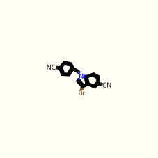 N#Cc1ccc(Cn2cc(Br)c3cc(C#N)ccc32)cc1